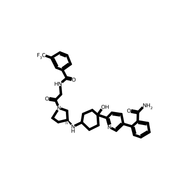 NC(=O)c1ccccc1-c1ccc(C2(O)CCC(N[C@H]3CCN(C(=O)CNC(=O)c4cccc(C(F)(F)F)c4)C3)CC2)nc1